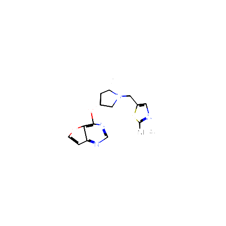 CC(=O)Nc1ncc(CN2C[C@H](Oc3ncnc4ccoc34)C[C@@H]2C)s1